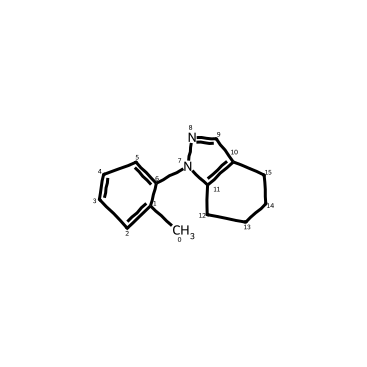 Cc1ccccc1-n1ncc2c1CCCC2